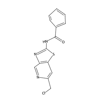 O=C(Nc1nc2cnc(CCl)cc2s1)c1ccccc1